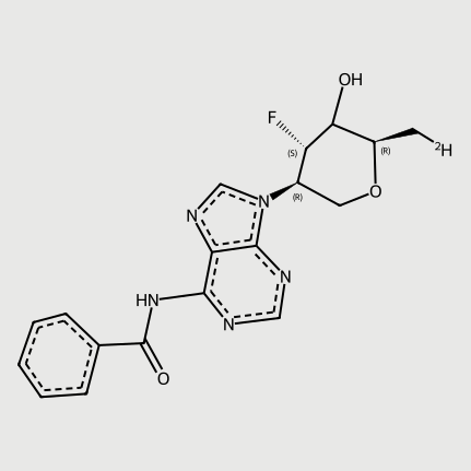 [2H]C[C@H]1OC[C@@H](n2cnc3c(NC(=O)c4ccccc4)ncnc32)[C@H](F)C1O